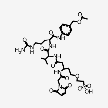 CC(=O)OCc1ccc(NC(=O)[C@H](CCCNC(N)=O)NC(=O)[C@@H](NC(=O)CC(CCOCCS(=O)(=O)O)NC(=O)CN2C(=O)C=CC2=O)C(C)C)cc1